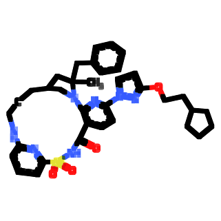 CC1(Cc2ccccc2)CC2CCCNc3cccc(n3)S(=O)(=O)NC(=O)c3ccc(-n4ccc(OCCC5CCCC5)n4)nc3N1C2